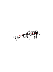 CCC(=O)NCCOCCOCCOc1ccc(/C=C/c2ccc(/C=C/c3ccc(C)cc3)cc2C)cc1